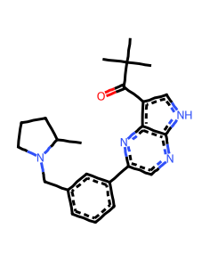 CC1CCCN1Cc1cccc(-c2cnc3[nH]cc(C(=O)C(C)(C)C)c3n2)c1